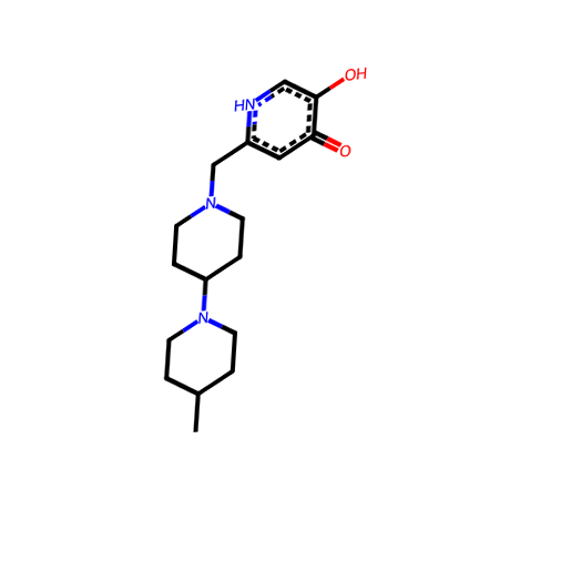 CC1CCN(C2CCN(Cc3cc(=O)c(O)c[nH]3)CC2)CC1